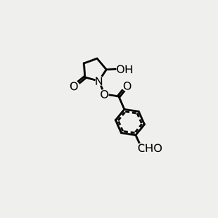 O=Cc1ccc(C(=O)ON2C(=O)CCC2O)cc1